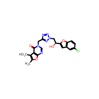 Cc1oc2ncn(Cc3nnn(C[C@H](O)c4cc5cc(Cl)ccc5o4)n3)c(=O)c2c1C(=O)O